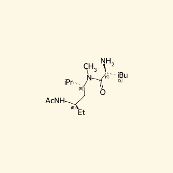 [CH2]C[C@H](C[C@H](C(C)C)N(C)C(=O)[C@@H](N)[C@@H](C)CC)NC(C)=O